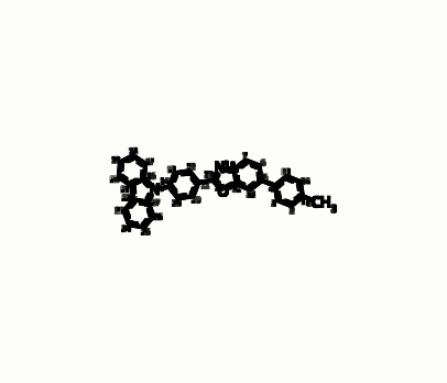 Cc1ccc(-c2ccc3nc(-c4ccc(-n5c6ccccc6c6ccccc65)cc4)oc3c2)cc1